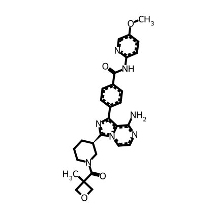 COc1ccc(NC(=O)c2ccc(-c3nc([C@@H]4CCCN(C(=O)C5(C)COC5)C4)n4ccnc(N)c34)cc2)nc1